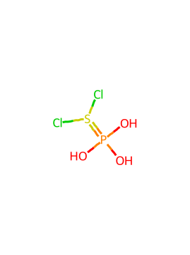 OP(O)(O)=S(Cl)Cl